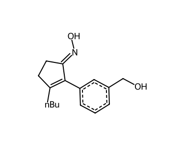 CCCCC1=C(c2cccc(CO)c2)C(=NO)CC1